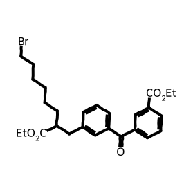 CCOC(=O)c1cccc(C(=O)c2cccc(CC(CCCCCCBr)C(=O)OCC)c2)c1